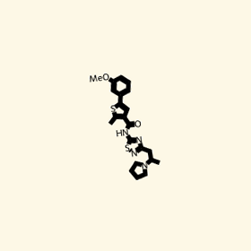 COc1cccc(-c2cc(C(=O)Nc3nc(CC(C)N4CCCC4)ns3)c(C)s2)c1